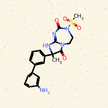 CC1(c2cccc(-c3cccc(N)c3)c2)NC2=NC(=O)N(S(C)(=O)=O)CCN2C1=O